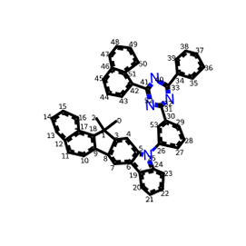 CC1(C)c2cc3c(cc2-c2ccc4ccccc4c21)c1ccccc1n3-c1cccc(-c2nc(-c3ccccc3)nc(-c3cccc4ccccc34)n2)c1